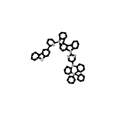 c1ccc([Si]2(c3ccccc3)c3ccccc3N(c3cnc(-n4c5ccccc5c5c6c7ccccc7n(-c7cccc(-c8ccc9oc%10ccccc%10c9c8)n7)c6ccc54)nc3)c3ccccc32)cc1